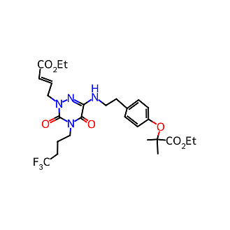 CCOC(=O)/C=C/Cn1nc(NCCc2ccc(OC(C)(C)C(=O)OCC)cc2)c(=O)n(CCCC(F)(F)F)c1=O